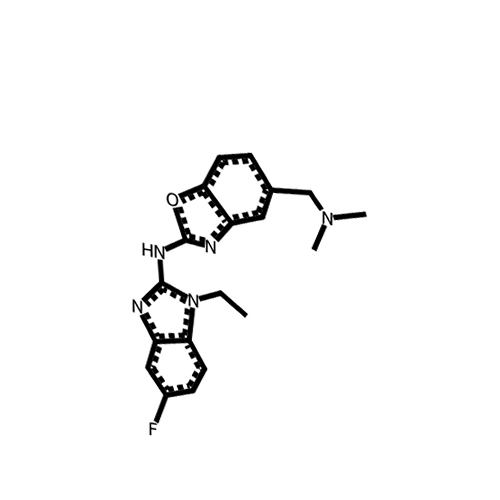 CCn1c(Nc2nc3cc(CN(C)C)ccc3o2)nc2cc(F)ccc21